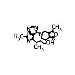 Cc1onc2c1CN(c1ncnn3c(C)nc([C@@H](C)CCO)c13)CC2